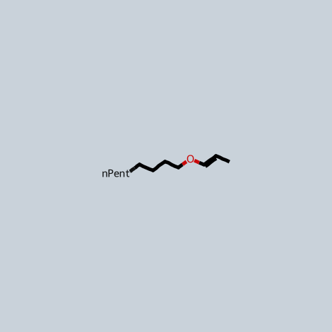 CC=COCCCCCCCCC